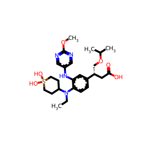 CCN(c1ccc([C@H](COC(C)C)CC(=O)O)cc1Nc1cnc(OC)nc1)C1CCS(O)(O)CC1